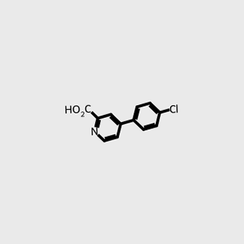 O=C(O)c1cc(-c2ccc(Cl)cc2)ccn1